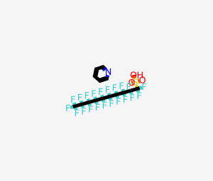 O=S(=O)(O)C(F)(F)C(F)(F)C(F)(F)C(F)(F)C(F)(F)C(F)(F)C(F)(F)C(F)(F)C(F)(F)C(F)(F)F.c1ccncc1